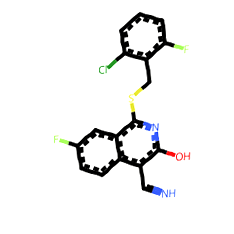 N=Cc1c(O)nc(SCc2c(F)cccc2Cl)c2cc(F)ccc12